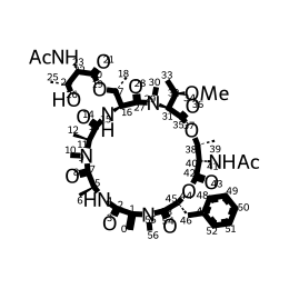 C=C1C(=O)N[C@@H](C)C(=O)N(C)[C@@H](C)C(=O)N[C@@H]([C@@H](C)OC(=O)[C@@H](NC(C)=O)[C@@H](C)O)C(=O)N(C)[C@@H]([C@@H](C)OC)C(=O)O[C@H](C)[C@H](NC(C)=O)C(=O)O[C@H](Cc2ccccc2)C(=O)N1C